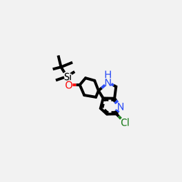 CC(C)(C)[Si](C)(C)OC1CCC2(CC1)NCc1nc(Cl)ccc12